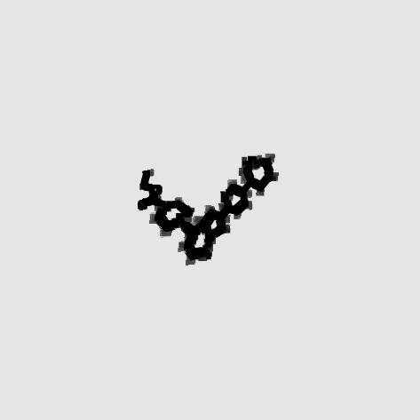 CCOC(=O)N1CCN(c2ccnn3cc(-c4ccc([C@@H]5CCCNC5)cn4)cc23)CC1